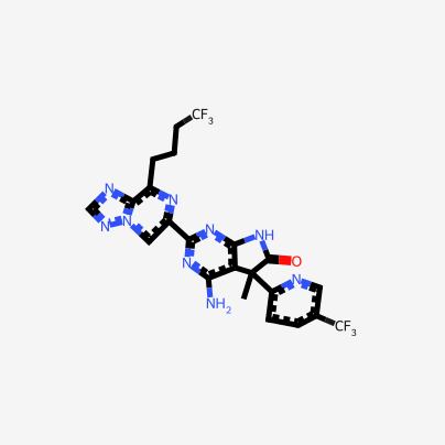 CC1(c2ccc(C(F)(F)F)cn2)C(=O)Nc2nc(-c3cn4ncnc4c(CCCC(F)(F)F)n3)nc(N)c21